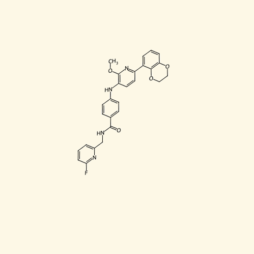 COc1nc(-c2cccc3c2OCCO3)ccc1Nc1ccc(C(=O)NCc2cccc(F)n2)cc1